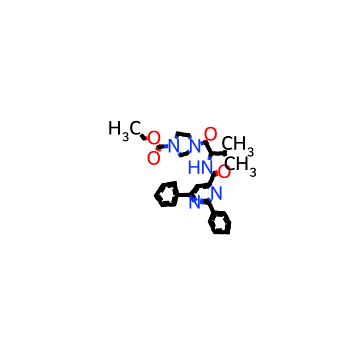 CCOC(=O)N1CCN(C(=O)C(NC(=O)c2cc(-c3ccccc3)nc(-c3ccccc3)n2)C(C)C)CC1